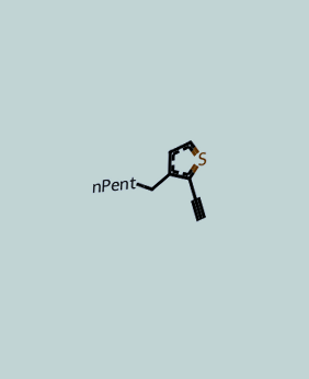 C#Cc1sccc1CCCCCC